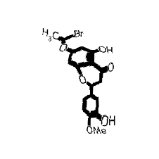 COc1ccc(C2CC(=O)c3c(O)cc(OC(C)Br)cc3O2)cc1O